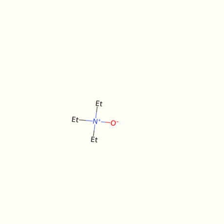 [CH2]C[N+]([O-])(CC)CC